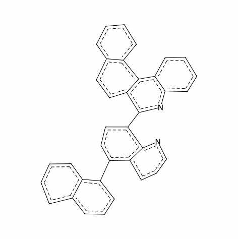 c1ccc2c(-c3ccc(-c4nc5ccccc5c5c4ccc4ccccc45)c4ncccc34)cccc2c1